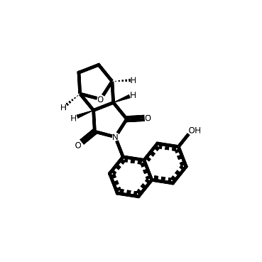 O=C1[C@@H]2[C@H](C(=O)N1c1cccc3ccc(O)cc13)[C@H]1CC[C@@H]2O1